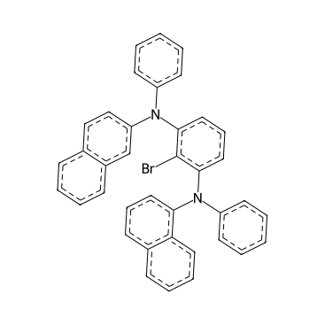 Brc1c(N(c2ccccc2)c2ccc3ccccc3c2)cccc1N(c1ccccc1)c1cccc2ccccc12